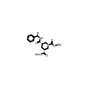 COC(=O)[C@@H]1C[C@H](C(=O)N[C@H](C)c2ccccc2)CN(C(=O)OC(C)(C)C)C1